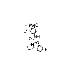 COc1ncc(NC(=O)C(=O)N2C[C@@H](C)CC[C@@H]2c2ccc(F)cc2)cc1C(F)F